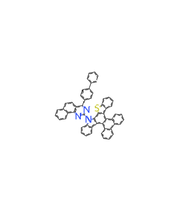 c1ccc(-c2ccc(-c3nc(-n4c5ccccc5c5c6c7ccccc7c7ccccc7c6c6c7ccccc7sc6c54)nc4c3ccc3ccccc34)cc2)cc1